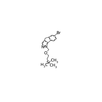 C[Si](C)(C)CCOCn1ncc2c1-c1ccc(Br)cc1C2